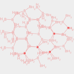 BB(B)B(B)B(B(B)B)B(B(B(B)B)B(B)B)B(B(B(B(B(B)B)B(B)B)B(B(B)B)B(B)B)B(B(B(B)B)B(B)B)B(B(B)B)B(B)B)B(B(B(B(B)B)B(B)B)B(B(B)B)B(B)B)B(B(B(B)B)B(B)B)B(B(B)B)B(B)B